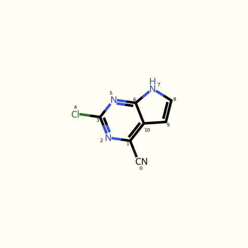 N#Cc1nc(Cl)nc2[nH]ccc12